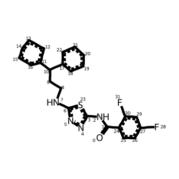 O=C(Nc1nnc(NCCC(c2ccccc2)c2ccccc2)s1)c1ccc(F)cc1F